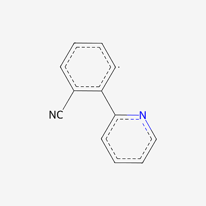 N#Cc1ccc[c]c1-c1ccccn1